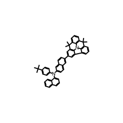 CC(C)(C)c1ccc(N(c2ccc3cc(-c4cc5c6c(c4)c4cccc7c4n6-c4c(cccc4C5(C)C)C7(C)C)ccc3c2)c2cccc3ccccc23)cc1